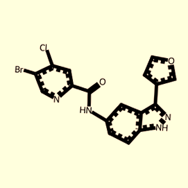 O=C(Nc1ccc2[nH]nc(-c3ccoc3)c2c1)c1cc(Cl)c(Br)cn1